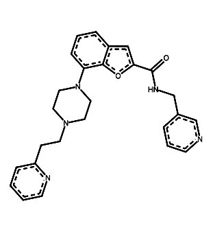 O=C(NCc1cccnc1)c1cc2cccc(N3CCN(CCc4ccccn4)CC3)c2o1